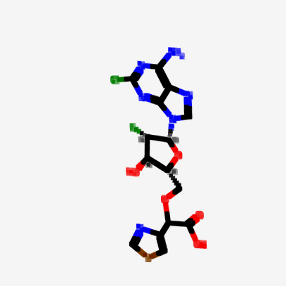 Nc1nc(Cl)nc2c1ncn2[C@@H]1O[C@H](COC(C(=O)O)c2cscn2)[C@@H](O)[C@@H]1F